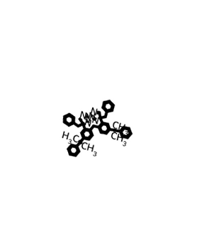 CC(C)(c1ccccc1)c1ccc(Cc2ccc(C(C)(C)c3ccccc3)cc2C2(Cc3ccccc3)C=NN=N2)c(C2(Cc3ccccc3)C=NN=N2)c1